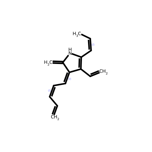 C=C/C=C\C=c1\c(C=C)c(/C=C\C)[nH]c1=C